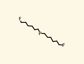 FCCCCCC[P]CCCCCCF